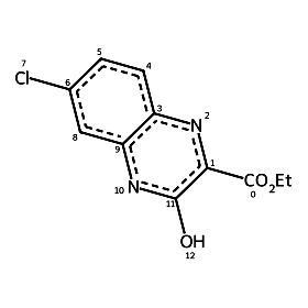 CCOC(=O)c1nc2ccc(Cl)cc2nc1O